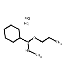 CCCON(NC)C1CCCCC1.Cl.Cl